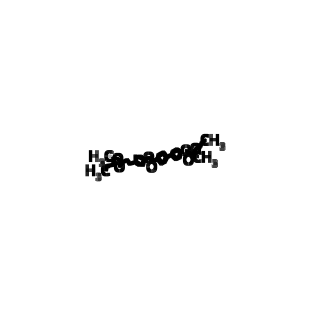 CCCO[C@@H](C)C(=O)Oc1ccc(-c2ccc(C(=O)Oc3ccc(CCC(=O)O[C@@H](C)CCC)cc3)cc2)cc1